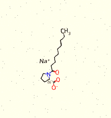 CCCCCCCCCC(=O)N1CCC[C@H]1C(=O)[O-].[Na+]